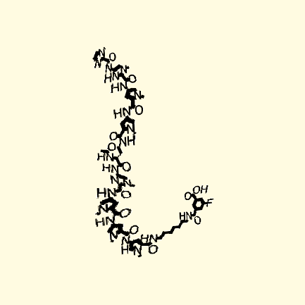 CC(=O)N[C@H](CCNC(=O)c1cc(NC(=O)c2cc(NC(=O)c3nc(NC(=O)c4nccn4C)cn3C)cn2C)cn1C)C(=O)Nc1cn(C)c(C(=O)Nc2cc(C(=O)Nc3cc(C(=O)Nc4cc(C(=O)NCCCCCCCNC(=O)c5cc(F)cc(C(=O)O)c5)n(C)c4)n(C)c3)n(C)c2)n1